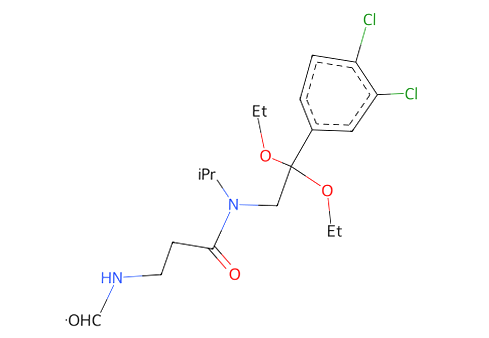 CCOC(CN(C(=O)CCN[C]=O)C(C)C)(OCC)c1ccc(Cl)c(Cl)c1